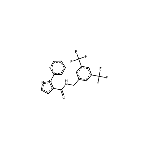 O=C(NCc1cc(C(F)(F)F)cc(C(F)(F)F)c1)c1ccnn1-c1ccccn1